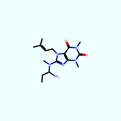 CCC(N)N(C)c1nc2c(c(=O)n(C)c(=O)n2C)n1CC=C(C)C